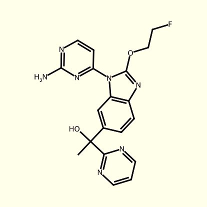 CC(O)(c1ccc2nc(OCCF)n(-c3ccnc(N)n3)c2c1)c1ncccn1